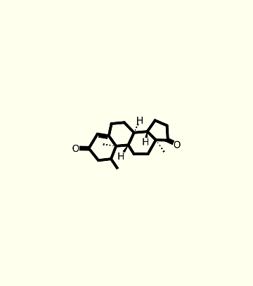 CC1CC(=O)C=C2CC[C@H]3[C@@H]4CCC(=O)[C@@]4(C)CC[C@@H]3[C@]21C